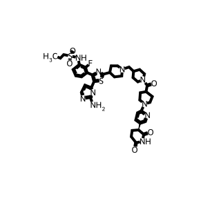 CCCS(=O)(=O)Nc1cccc(-c2nc(C3CCN(CC4CCN(C(=O)C5CCN(c6ccc([C@@H]7CCC(=O)NC7=O)cn6)CC5)CC4)CC3)sc2-c2ccnc(N)n2)c1F